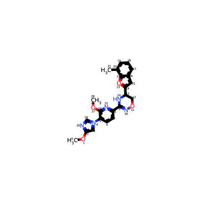 COc1cn(-c2ccc(C3=NOCC(c4cc5cccc(C)c5o4)N3)nc2OC)cn1